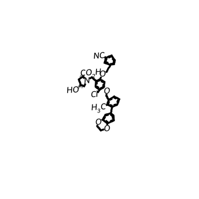 Cc1c(COc2cc(OCc3cccc(C#N)c3)c(CN3C[C@H](O)C[C@@H]3C(=O)O)cc2Cl)cccc1-c1ccc2c(c1)OCCO2